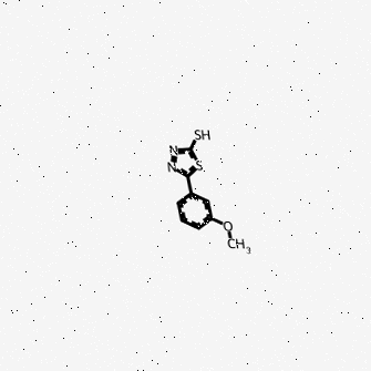 COc1cccc(-c2nnc(S)s2)c1